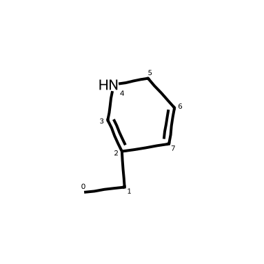 CCC1=CNCC=C1